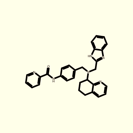 O=C(Nc1ccc(CN(Cc2nc3ccccc3[nH]2)C2CCCc3cccnc32)cc1)c1ccccn1